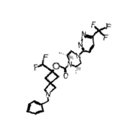 C[C@@H]1CN(c2ccc(C(F)(F)F)nn2)C[C@H](C)N1C(=O)OC1(C(F)F)CC2(CN(Cc3ccccc3)C2)C1